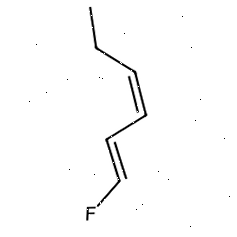 CC/C=C\C=C\F